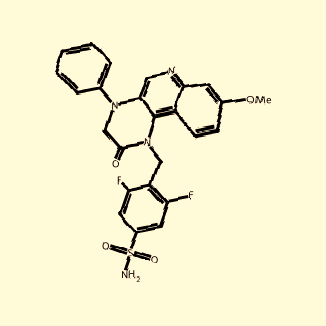 COc1ccc2c3c(cnc2c1)N(c1ccccc1)CC(=O)N3Cc1c(F)cc(S(N)(=O)=O)cc1F